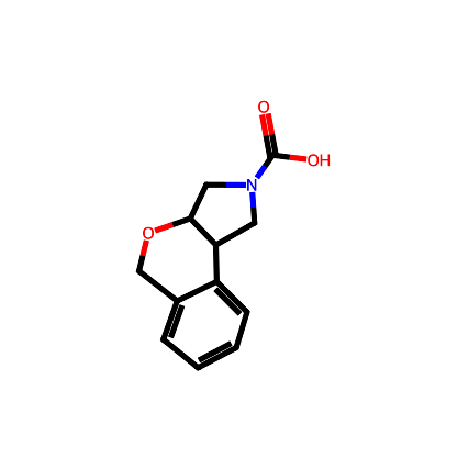 O=C(O)N1CC2OCc3ccccc3C2C1